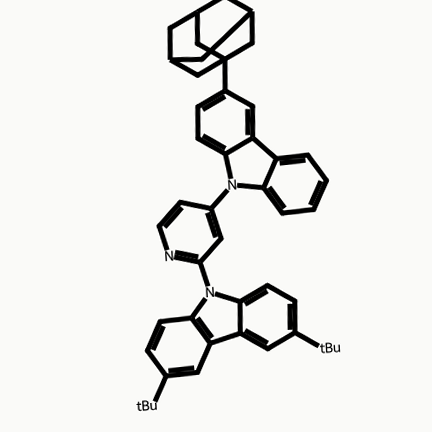 CC(C)(C)c1ccc2c(c1)c1cc(C(C)(C)C)ccc1n2-c1cc(-n2c3ccccc3c3cc(C45CC6CC(CC(C6)C4)C5)ccc32)ccn1